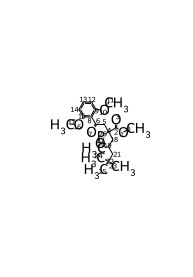 COC(=O)C(CC(=O)c1c(OC)cccc1OC)(CC(C)CC(C)(C)C)P=O